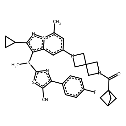 Cc1cc(N2CC3(CN(C(=O)C45CC(C4)C5)C3)C2)cc2c(N(C)c3nc(-c4ccc(F)cc4)c(C#N)s3)c(C3CC3)nn12